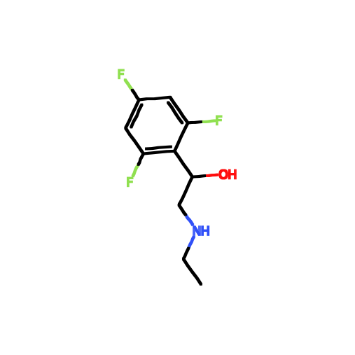 CCNCC(O)c1c(F)cc(F)cc1F